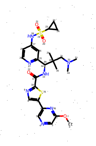 CCOc1cncc(-c2cnc(C(=O)N[C@@H](c3cc(NS(=O)(=O)C4CC4)ccn3)C(C)(C)CN(C)C)s2)n1